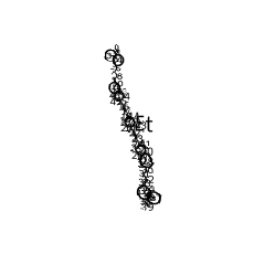 C=CC(=O)OCCCCCCOc1ccc(C#Cc2ccc(C#Cc3ccc(OCCCCCCOC(=O)C=C)cc3)c(CC)c2)cc1